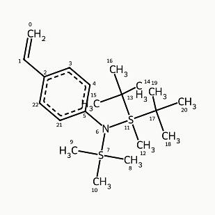 C=Cc1ccc(N(S(C)(C)C)S(C)(C(C)(C)C)C(C)(C)C)cc1